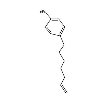 C=CCCCCCc1ccc(CCC)cc1